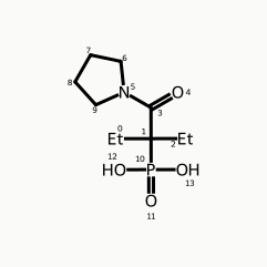 CCC(CC)(C(=O)N1CCCC1)P(=O)(O)O